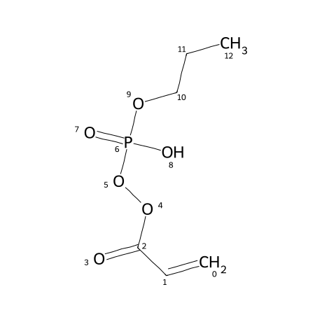 C=CC(=O)OOP(=O)(O)OCCC